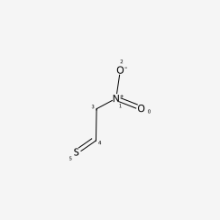 O=[N+]([O-])CC=S